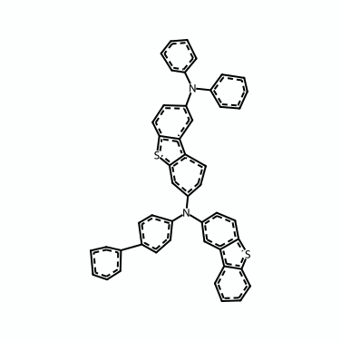 c1ccc(-c2ccc(N(c3ccc4c(c3)sc3ccc(N(c5ccccc5)c5ccccc5)cc34)c3ccc4sc5ccccc5c4c3)cc2)cc1